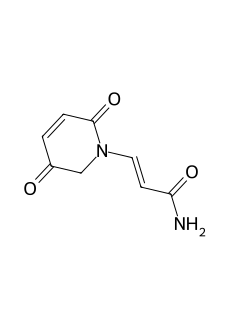 NC(=O)C=CN1CC(=O)C=CC1=O